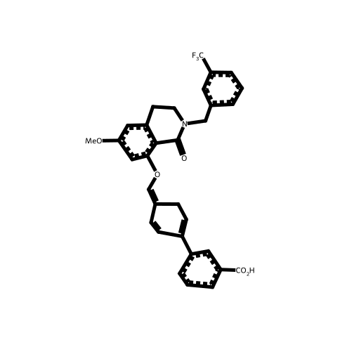 COc1cc2c(c(OC=C3C=CC(c4cccc(C(=O)O)c4)=CC3)c1)C(=O)N(Cc1cccc(C(F)(F)F)c1)CC2